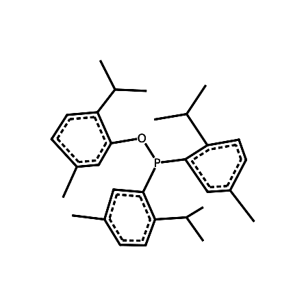 Cc1ccc(C(C)C)c(OP(c2cc(C)ccc2C(C)C)c2cc(C)ccc2C(C)C)c1